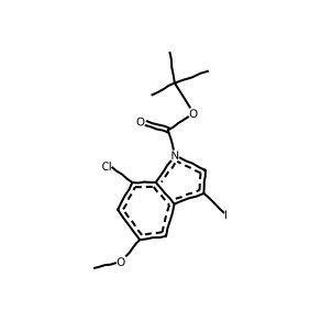 COc1cc(Cl)c2c(c1)c(I)cn2C(=O)OC(C)(C)C